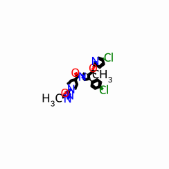 Cc1nnc(N2CCC(C(=O)N3C[C@H]([C@H](C)Oc4ccc(Cl)cn4)[C@@H](c4ccc(Cl)cc4)C3)CC2)o1